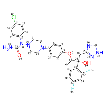 CC(Oc1ccc(N2CCN(N(C(N)=O)c3ccc(Cl)cc3)CC2)cc1)C(O)(Cc1nc[nH]n1)c1ccc(F)cc1F